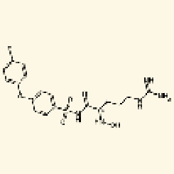 N=C(N)NCCC[C@@H](NO)C(=O)NS(=O)(=O)c1ccc(Oc2ccc(F)cc2)cc1